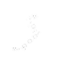 COC(=O)C[C@@H]1COc2cc(O[C@@H]3CCc4c(-c5c(C)cc(-c6ccc(OC)nc6)cc5C)ccc(F)c43)ccc21